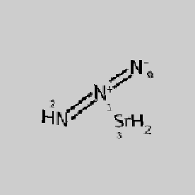 [N-]=[N+]=N.[SrH2]